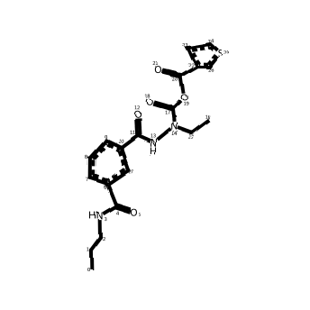 CCCNC(=O)c1cccc(C(=O)NN(CC)C(=O)OC(=O)c2ccsc2)c1